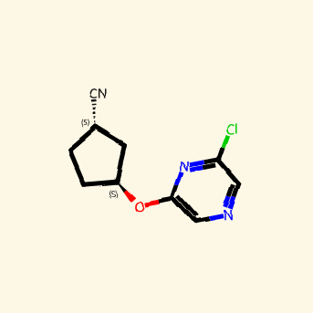 N#C[C@H]1CC[C@H](Oc2cncc(Cl)n2)C1